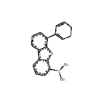 OB(O)c1cccc2c1sc1c(C3=CCCC=C3)cccc12